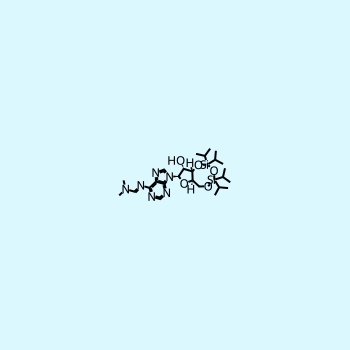 CC(C)[Si]1(C(C)C)OC[C@H]2O[C@@H](n3cnc4c(N=CN(C)C)ncnc43)[C@H](O)[C@@H]2O[Si](C(C)C)(C(C)C)O1